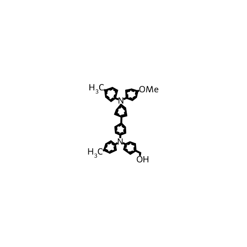 COc1ccc(N(c2ccc(C)cc2)c2ccc(-c3ccc(N(c4ccc(C)cc4)c4ccc(CO)cc4)cc3)cc2)cc1